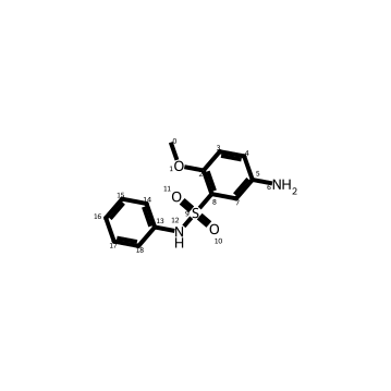 COc1ccc(N)cc1S(=O)(=O)Nc1ccccc1